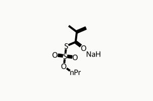 C=C(C)C(=O)SS(=O)(=O)OCCC.[NaH]